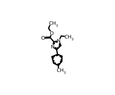 CCOC(=O)c1nc(-c2ccc(C)cc2)cn1CC